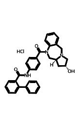 Cl.O=C(Nc1ccc(C(=O)N2C[C@@H]3C[C@@H](O)CN3Cc3ccccc32)cc1)c1ccccc1-c1ccccc1